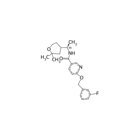 C[C@@H](NC(=O)c1ccc(OCc2cccc(F)c2)nc1)C1CCOC(C)(C)C1